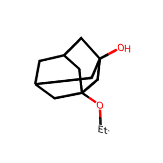 C[CH]OC12CC3CC(CC(O)(C3)C1)C2